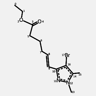 CCOC(=O)CCC/C=C/c1nn(C)c(C)c1Br